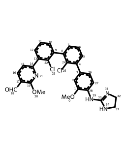 COc1cc(-c2cccc(-c3cccc(-c4ccc(C=O)c(OC)n4)c3Cl)c2Cl)ccc1NC1=NCCN1